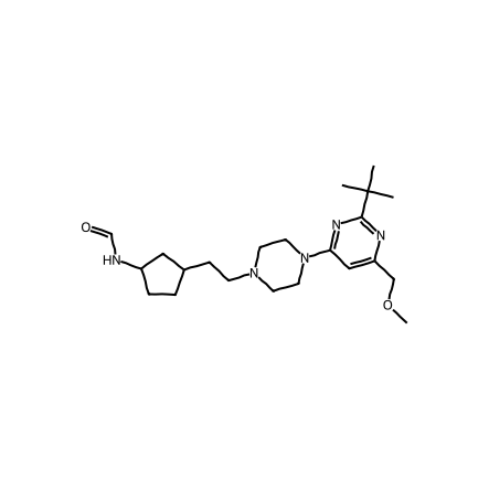 COCc1cc(N2CCN(CCC3CCC(NC=O)C3)CC2)nc(C(C)(C)C)n1